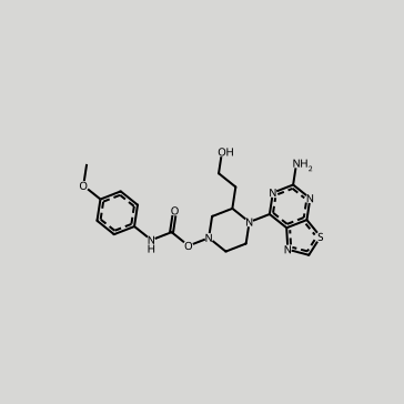 COc1ccc(NC(=O)ON2CCN(c3nc(N)nc4scnc34)C(CCO)C2)cc1